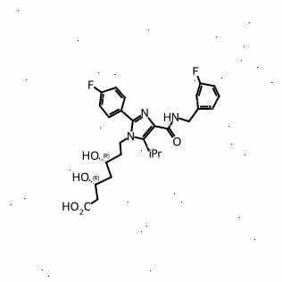 CC(C)c1c(C(=O)NCc2cccc(F)c2)nc(-c2ccc(F)cc2)n1CC[C@@H](O)C[C@@H](O)CC(=O)O